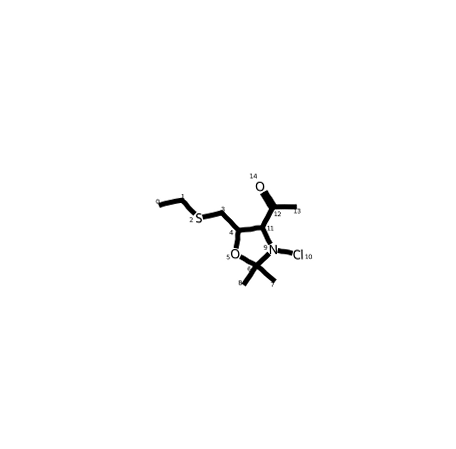 CCSCC1OC(C)(C)N(Cl)C1C(C)=O